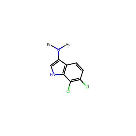 CCN(C(C)=O)c1c[nH]c2c(Cl)c(Cl)ccc12